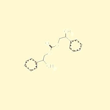 CC(COC(=O)OCC(C)c1ccccc1)c1ccccc1